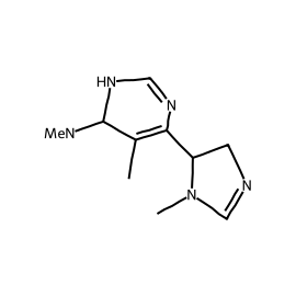 CNC1NC=NC(C2CN=CN2C)=C1C